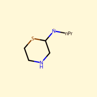 CCC[N]C1CNCCS1